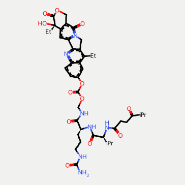 CCc1c2c(nc3ccc(OC(=O)OCNC(=O)[C@H](CCCNC(N)=O)NC(=O)[C@@H](NC(=O)CCC(=O)C(C)C)C(C)C)cc13)-c1cc3c(c(=O)n1C2)COC(=O)[C@]3(O)CC